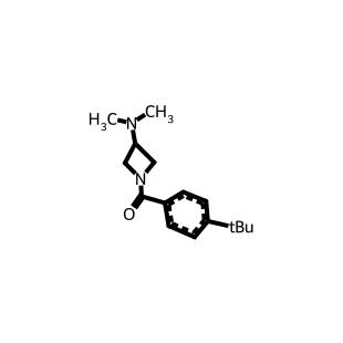 CN(C)C1CN(C(=O)c2ccc(C(C)(C)C)cc2)C1